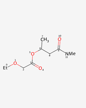 CCOCC(=O)OC(C)CC(=O)NC